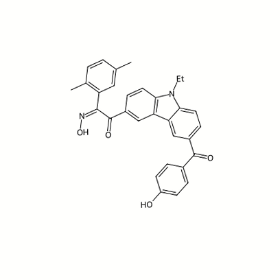 CCn1c2ccc(C(=O)/C(=N\O)c3cc(C)ccc3C)cc2c2cc(C(=O)c3ccc(O)cc3)ccc21